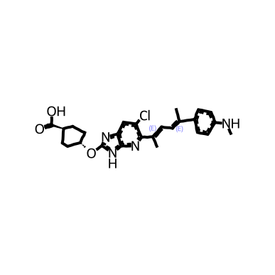 CNc1ccc(/C(C)=C/C=C(\C)c2nc3[nH]c(O[C@H]4CC[C@H](C(=O)O)CC4)nc3cc2Cl)cc1